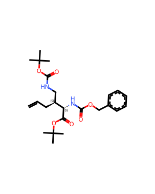 C=CC[C@@H](CNC(=O)OC(C)(C)C)[C@H](NC(=O)OCc1ccccc1)C(=O)OC(C)(C)C